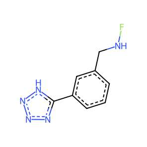 FNCc1cccc(-c2nnn[nH]2)c1